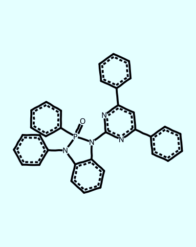 O=P1(c2ccccc2)N(c2ccccc2)c2ccccc2N1c1nc(-c2ccccc2)cc(-c2ccccc2)n1